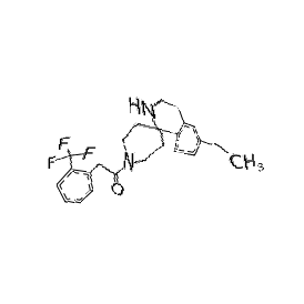 CCc1ccc2c(c1)CCNC21CCN(C(=O)Cc2ccccc2C(F)(F)F)CC1